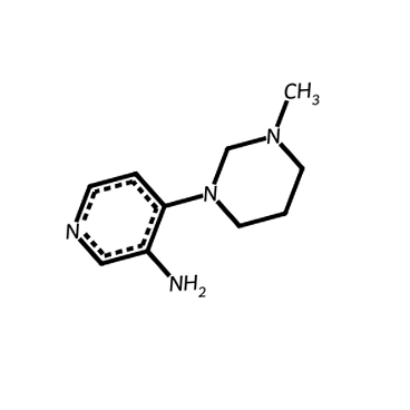 CN1CCCN(c2ccncc2N)C1